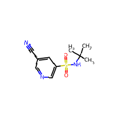 CC(C)(C)NS(=O)(=O)c1cncc(C#N)c1